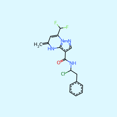 C=C1C=C(C(F)F)n2ncc(C(=O)NC(Cl)Cc3ccccc3)c2N1